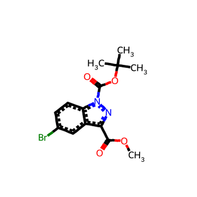 COC(=O)c1nn(C(=O)OC(C)(C)C)c2ccc(Br)cc12